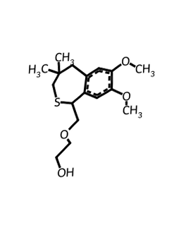 COc1cc2c(cc1OC)C(COCCO)SCC(C)(C)C2